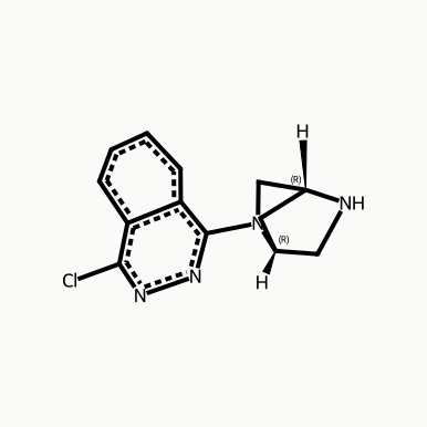 Clc1nnc(N2C[C@H]3C[C@@H]2CN3)c2ccccc12